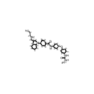 CC(C)NC(=O)Nc1ccc(Oc2ccc(NC(=O)c3ccc(-n4cc(CNCCO)c5ccccc54)cc3)cc2)cc1